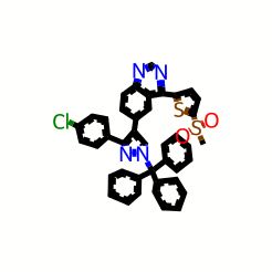 CS(=O)(=O)c1ccc(-c2ncnc3ccc(-c4cn(C(c5ccccc5)(c5ccccc5)c5ccccc5)nc4-c4ccc(Cl)cc4)cc23)s1